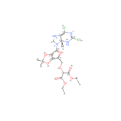 CCOC(=O)C(OCc1oc(N2CNC3=C(Cl)N=C(Cl)N[C@@H]32)c2c1OC(C)(C)O2)C(=O)OCC